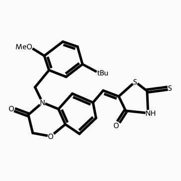 COc1ccc(C(C)(C)C)cc1CN1C(=O)COc2ccc(C=C3SC(=S)NC3=O)cc21